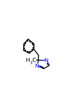 CC1(Cc2ccccc2)N=CC=N1